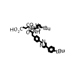 CC(C)(C)c1ccc(-c2cnc(-c3ccc(CC(NC(=O)c4ccc(C(C)(C)C)s4)C(=O)NC(CCC(=O)O)C(=O)O)cc3)nc2)cc1